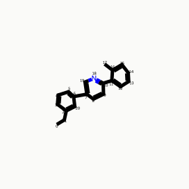 CCc1cccc(-c2ccc(-c3ccccc3C)nc2)c1